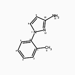 Cc1ccccc1-n1ccc(N)n1